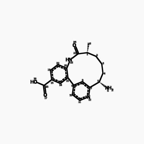 C[C@@H]1CCC[C@H](N)c2cc(ccn2)-c2cc(C(=O)O)ccc2NC1=O